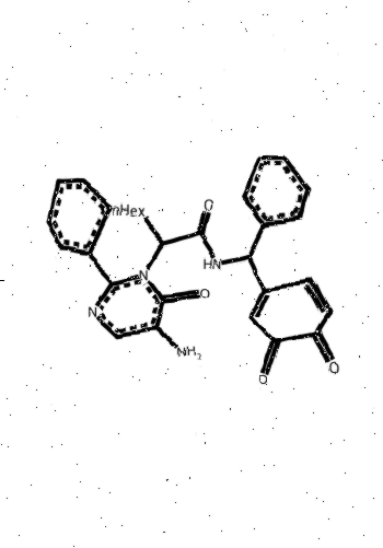 CCCCCCC(C(=O)NC(C1=CC(=O)C(=O)C=C1)c1ccccc1)n1c(-c2ccccc2)ncc(N)c1=O